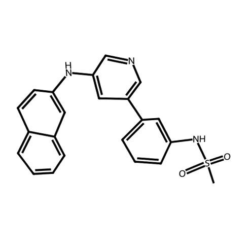 CS(=O)(=O)Nc1cccc(-c2cncc(Nc3ccc4ccccc4c3)c2)c1